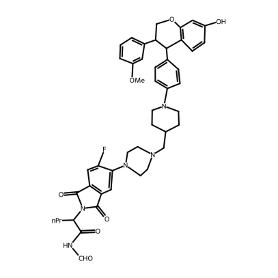 CCCC(C(=O)NC=O)N1C(=O)c2cc(F)c(N3CCN(CC4CCN(c5ccc(C6c7ccc(O)cc7OCC6c6cccc(OC)c6)cc5)CC4)CC3)cc2C1=O